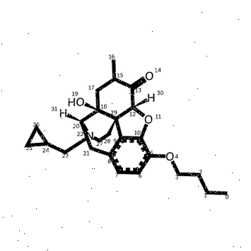 CCCCOc1ccc2c3c1O[C@H]1C(=O)C(C)C[C@@]4(O)[C@@H](C2)N(CC2CC2)CC[C@]314